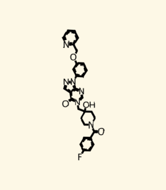 O=C(c1ccc(F)cc1)N1CCC(O)(Cn2cnc3c(cnn3-c3cccc(OCc4ccccn4)c3)c2=O)CC1